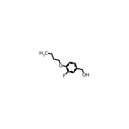 CCCCOc1ccc(CO)cc1F